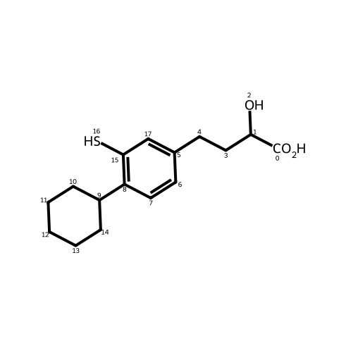 O=C(O)C(O)CCc1ccc(C2CCCCC2)c(S)c1